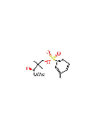 COC(=O)C(C)(C)COS(=O)(=O)c1cccc(C)c1